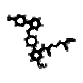 COC(=O)CCCC(=O)Nc1cc(C(=O)O)ccc1N1CCN(Cc2ccccc2-c2ccc(Cl)cc2)CC1